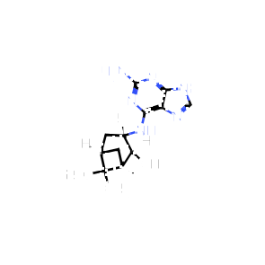 C[C@@H]1[C@@H](Nc2nc(N)nc3[nH]cnc23)C[C@H]2C[C@@H]1C2(C)C